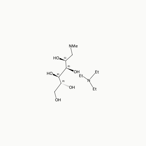 CCN(CC)CC.CNC[C@H](O)[C@@H](O)[C@H](O)[C@H](O)CO